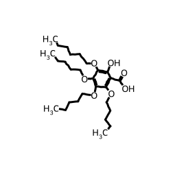 CCCCCCOc1c(O)c(C(=O)O)c(OCCCCC)c(OCCCCC)c1OCCCCC